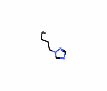 CCCCCCCn1cncn1